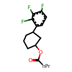 CCCC(=O)OC1CCCC(c2ccc(F)c(F)c2F)C1